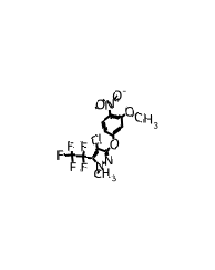 COc1cc(Oc2nn(C)c(C(F)(F)C(F)(F)F)c2Cl)ccc1[N+](=O)[O-]